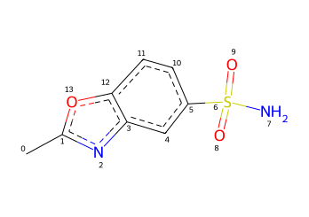 Cc1nc2cc(S(N)(=O)=O)ccc2o1